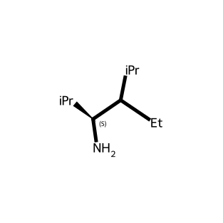 CCC(C(C)C)[C@@H](N)C(C)C